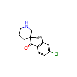 CCCC1(C(=O)c2ccc(Cl)cc2C)CCCNC1